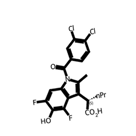 CCC[C@H](C(=O)O)c1c(C)n(C(=O)c2ccc(Cl)c(Cl)c2)c2cc(F)c(O)c(F)c12